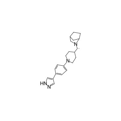 [CH](C1CCN(c2ccc(-c3cn[nH]c3)cc2)CC1)N1CC2CCC1C2